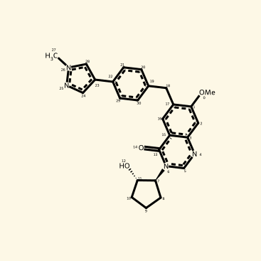 COc1cc2ncn([C@H]3CCC[C@@H]3O)c(=O)c2cc1Cc1ccc(-c2cnn(C)c2)cc1